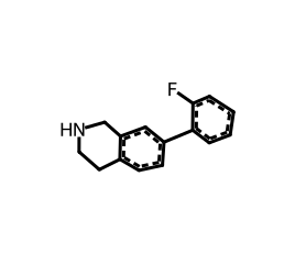 Fc1ccccc1-c1ccc2c(c1)CNCC2